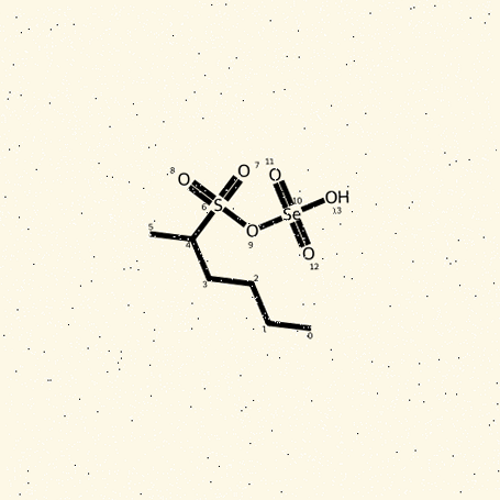 CCCCC(C)S(=O)(=O)O[Se](=O)(=O)O